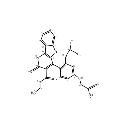 CCOC(=O)c1c(-c2ccc(OCC(=O)O)cc2OC(F)F)c2oc3ccccc3c2[nH]c1=O